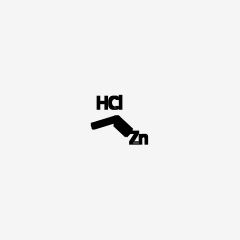 C[CH]=[Zn].Cl